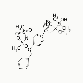 CC(C)(C[C@@H](CBr)c1ccc(OCc2ccccc2)c(N(S(C)(=O)=O)S(C)(=O)=O)c1)[Si](C)(C)O